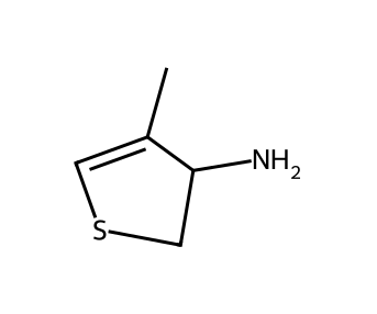 CC1=CSCC1N